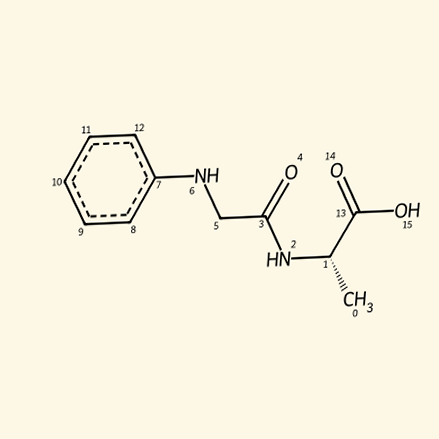 C[C@H](NC(=O)CNc1ccccc1)C(=O)O